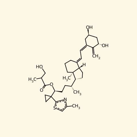 C=C1/C(=C\C=C2/CCC[C@]3(C)[C@@H]([C@H](C)CC[C@H](OC(=O)C(C)CO)C4(c5nc(C)cs5)CC4)CC[C@@H]23)C[C@@H](O)C[C@@H]1O